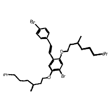 CC(C)CCCC(C)CCOc1cc(C=Cc2ccc(Br)cc2)c(OCCC(C)CCCC(C)C)cc1Br